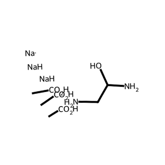 CC(=O)O.CC(=O)O.CC(=O)O.NCC(N)O.[NaH].[NaH].[Na]